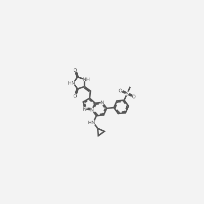 CS(=O)(=O)c1cccc(-c2cc(NC3CC3)n3ncc(/C=C4/NC(=O)NC4=O)c3n2)c1